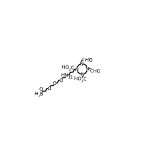 BC(=O)CCOCCOCCOCCNC(=O)CCC(C(=O)O)N1CCN(CC=O)CCN(CC=O)CCN(CC(=O)O)CC1